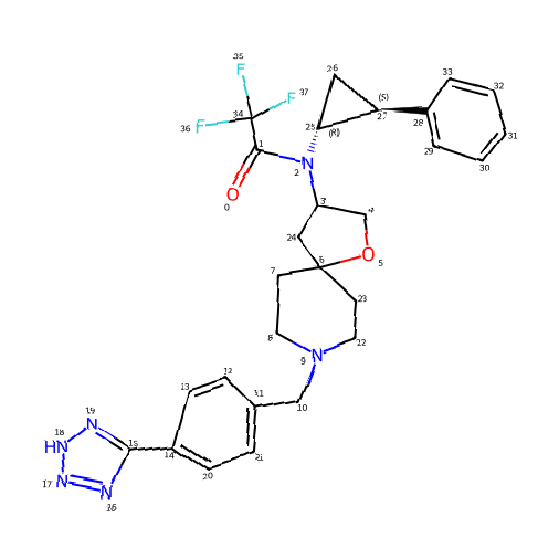 O=C(N(C1COC2(CCN(Cc3ccc(-c4nn[nH]n4)cc3)CC2)C1)[C@@H]1C[C@H]1c1ccccc1)C(F)(F)F